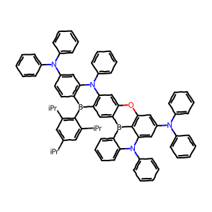 CC(C)c1cc(C(C)C)c(B2c3ccc(N(c4ccccc4)c4ccccc4)cc3N(c3ccccc3)c3cc4c(cc32)B2c3ccccc3N(c3ccccc3)c3cc(N(c5ccccc5)c5ccccc5)cc(c32)O4)c(C(C)C)c1